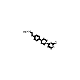 CC(=O)NCCc1ccc(C2CCN(c3ccnc(Cl)n3)CC2)cc1